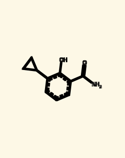 NC(=O)c1cccc(C2CC2)c1O